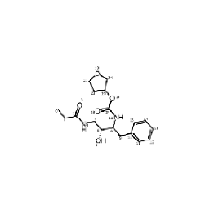 CCC(=O)NC[C@@H](O)[C@H](Cc1ccccc1)NC(=O)O[C@H]1CCOC1